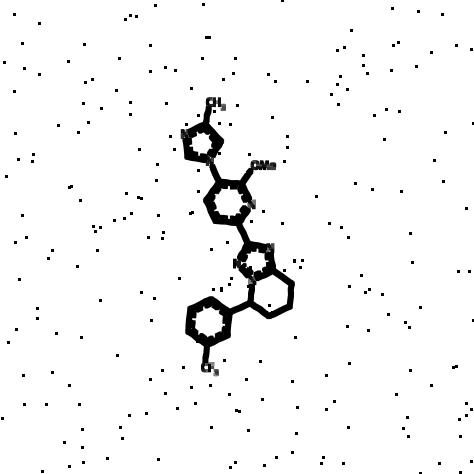 COc1nc(-c2nc3n(n2)C(c2cccc(C(F)(F)F)c2)CCC3)ccc1-n1cnc(C)c1